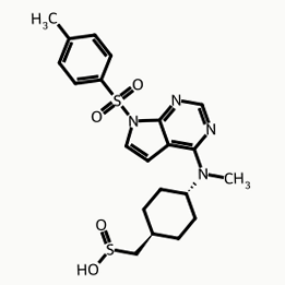 Cc1ccc(S(=O)(=O)n2ccc3c(N(C)[C@H]4CC[C@H](CS(=O)O)CC4)ncnc32)cc1